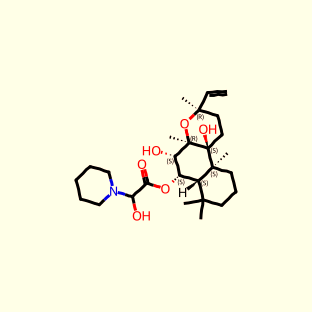 C=C[C@@]1(C)CC[C@]2(O)[C@@]3(C)CCCC(C)(C)[C@@H]3[C@H](OC(=O)C(O)N3CCCCC3)[C@H](O)[C@@]2(C)O1